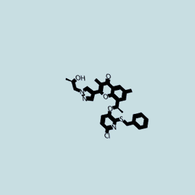 Cc1cc([C@@H](C)Oc2ccc(Cl)nc2SCc2ccccc2)c2oc(-c3cnn(C[C@@H](C)O)c3)c(C)c(=O)c2c1